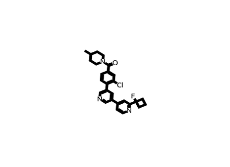 CC1CCN(C(=O)c2ccc(-c3cncc(-c4ccnc(C5(F)CCC5)c4)c3)c(Cl)c2)CC1